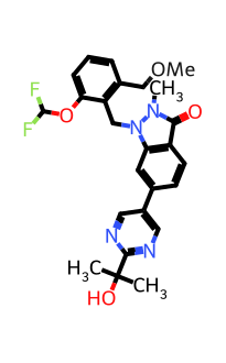 COCc1cccc(OC(F)F)c1Cn1c2cc(-c3cnc(C(C)(C)O)nc3)ccc2c(=O)n1C